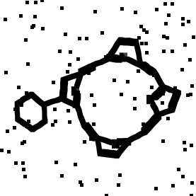 C1=CC2=NC1=CC1=NC(=CC3=NC(=CC4=NC(=C2)C=C4)C=C3C2CCCCC2)C=C1